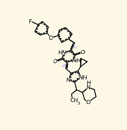 CCC(c1nc(/C=c2\[nH]c(=O)/c(=C/c3cccc(Oc4ccc(F)cc4)c3)[nH]c2=O)c(C2CC2)[nH]1)C1COCCN1